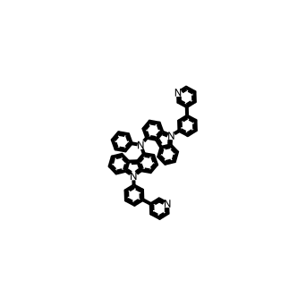 c1ccc(N(c2cccc3c2c2ccccc2n3-c2cccc(-c3cccnc3)c2)c2cccc3c2c2ccccc2n3-c2cccc(-c3cccnc3)c2)cc1